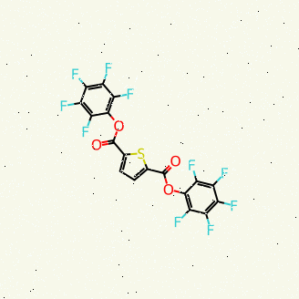 O=C(Oc1c(F)c(F)c(F)c(F)c1F)c1ccc(C(=O)Oc2c(F)c(F)c(F)c(F)c2F)s1